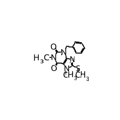 CSc1nc2c(c(=O)n(C)c(=O)n2Cc2ccccc2)n1C